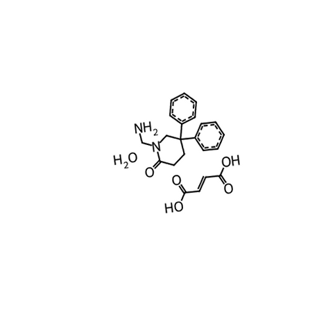 NCN1CC(c2ccccc2)(c2ccccc2)CCC1=O.O.O=C(O)C=CC(=O)O